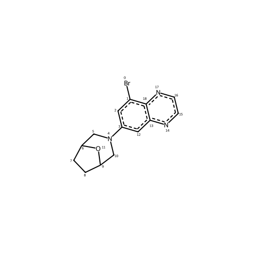 Brc1cc(N2CC3CCC(C2)O3)cc2nccnc12